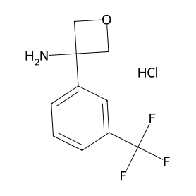 Cl.NC1(c2cccc(C(F)(F)F)c2)COC1